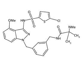 CNC(C)(C)C(=O)NCc1cccc(Cn2nc(NS(=O)(=O)c3ccc(Cl)s3)c3c(OC)cccc32)c1